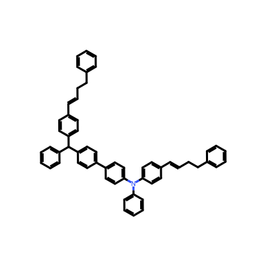 C(=Cc1ccc(C(c2ccccc2)c2ccc(-c3ccc(N(c4ccccc4)c4ccc(C=CCCc5ccccc5)cc4)cc3)cc2)cc1)CCc1ccccc1